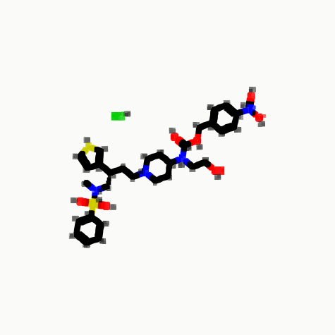 CN(C[C@@H](CCN1CCC(N(CCO)C(=O)OCc2ccc([N+](=O)[O-])cc2)CC1)c1ccsc1)S(=O)(=O)c1ccccc1.Cl